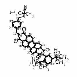 CC(C)(C#N)CCc1ccc(CN2C(=O)c3ccc4c5ccc6c7c(ccc(c8ccc(c3c48)C2=O)c75)C(=O)N(c2cc(C(C)(C)C)ccc2C(C)(C)C)C6=O)cc1